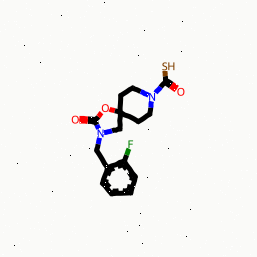 O=C(S)N1CCC2(CC1)CN(Cc1ccccc1F)C(=O)O2